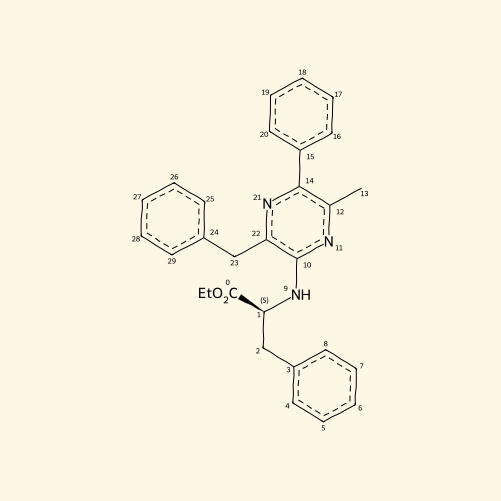 CCOC(=O)[C@H](Cc1ccccc1)Nc1nc(C)c(-c2ccccc2)nc1Cc1ccccc1